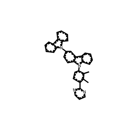 Cc1c(-c2ncccn2)ccc(-n2c3ccccc3c3cc(-n4c5ccccc5c5ccccc54)ccc32)c1C